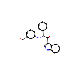 O=C(c1c[nH]c2ccccc12)C(Nc1cccc(CO)c1)c1ccccc1